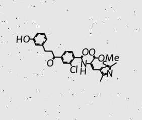 COC(=O)C(=Cc1sc(C)nc1C)NC(=O)c1ccc(C(=O)CCc2cccc(O)c2)cc1Cl